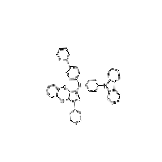 c1ccc(-c2ccc(N(c3ccc(-n4c5ccccc5c5ccccc54)cc3)c3sc(-c4ccccc4)c4c3Oc3ccccc3O4)cc2)cc1